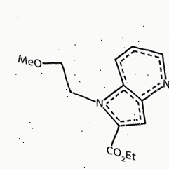 CCOC(=O)c1cc2ncccc2n1CCOC